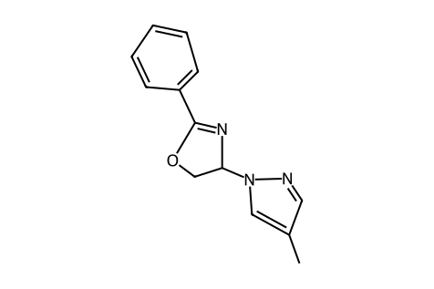 Cc1cnn(C2COC(c3ccccc3)=N2)c1